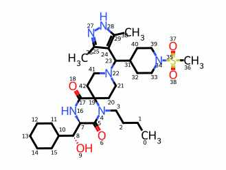 CCCCN1C(=O)[C@@H]([C@H](O)C2CCCCC2)NC(=O)C12CCN(C(c1c(C)n[nH]c1C)C1CCN(S(C)(=O)=O)CC1)CC2